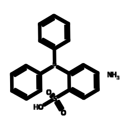 N.O=S(=O)(O)c1ccccc1P(c1ccccc1)c1ccccc1